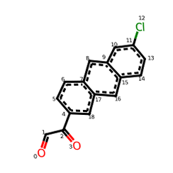 O=CC(=O)c1ccc2cc3cc(Cl)ccc3cc2c1